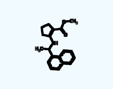 COC(=O)C1=C(NC(C)c2cccc3ccccc23)CCC1